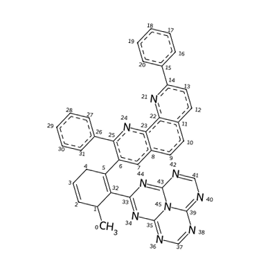 CC1C=CCC(c2cc3ccc4ccc(-c5ccccc5)nc4c3nc2-c2ccccc2)=C1C1=NC2=NC=NC3=NC=NC(=N1)N32